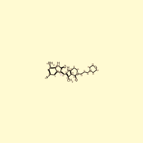 Bc1cc(F)cc2c1NC(=O)/C2=C\c1[nH]c2c(c1C)C(=O)N(CCCN1CCOCC1)CC2